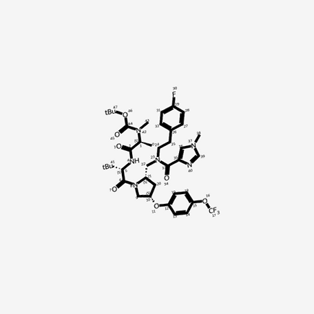 C[C@@H](C(=O)N[C@H](C(=O)N1C[C@@H](Oc2ccc(OC(F)(F)F)cc2)C[C@H]1CN(CCc1ccc(F)cc1)C(=O)c1cn(C)cn1)C(C)(C)C)N(C)C(=O)OC(C)(C)C